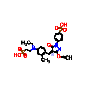 C#COC1=NN(c2ccc(S(=O)(=O)O)cc2)C(=O)/C1=C\c1ccc(N(CC)CCS(=O)(=O)O)cc1C